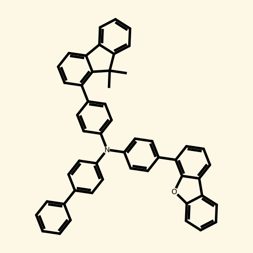 CC1(C)c2ccccc2-c2cccc(-c3ccc(N(c4ccc(-c5ccccc5)cc4)c4ccc(-c5cccc6c5oc5ccccc56)cc4)cc3)c21